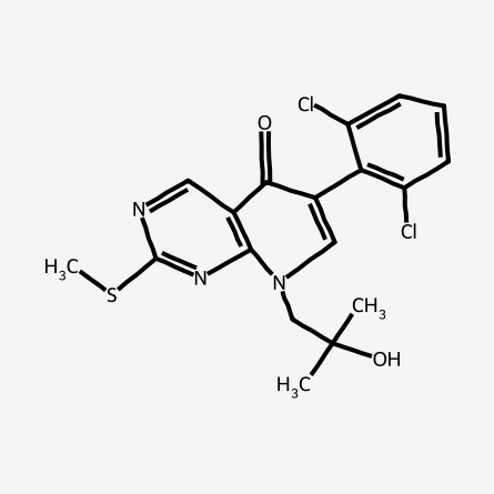 CSc1ncc2c(=O)c(-c3c(Cl)cccc3Cl)cn(CC(C)(C)O)c2n1